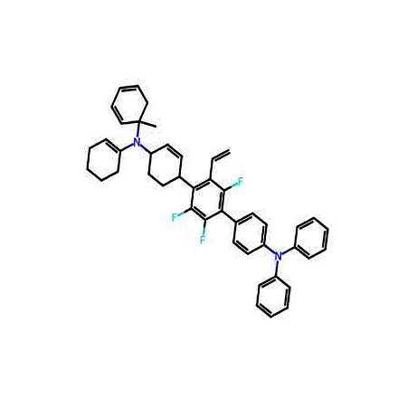 C=Cc1c(F)c(-c2ccc(N(c3ccccc3)c3ccccc3)cc2)c(F)c(F)c1C1C=CC(N(C2=CCCCC2)C2(C)C=CC=CC2)CC1